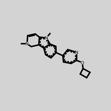 CN1C=Cc2c(c3ccc(-c4ccc(OC5CCC5)nc4)cc3n2C)C1